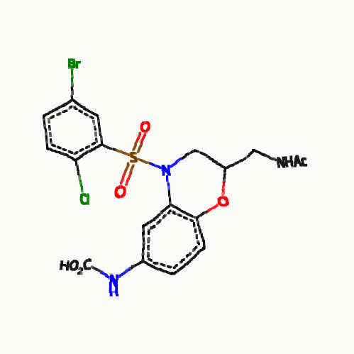 CC(=O)NCC1CN(S(=O)(=O)c2cc(Br)ccc2Cl)c2cc(NC(=O)O)ccc2O1